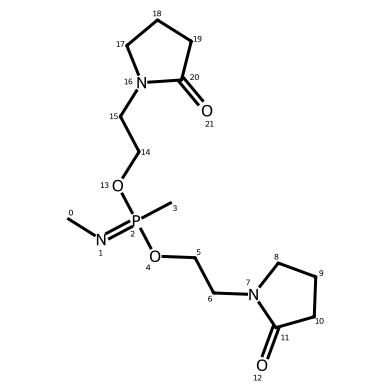 CN=P(C)(OCCN1CCCC1=O)OCCN1CCCC1=O